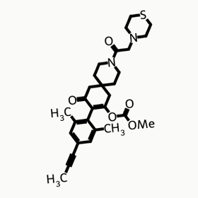 CC#Cc1cc(C)c(C2=C(OC(=O)OC)CC3(CCN(C(=O)CN4CCSCC4)CC3)CC2=O)c(C)c1